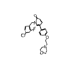 O=c1ccc(-c2ccc(OCCN3CCOCC3)cc2)cn1Cc1ccc(Cl)cc1F